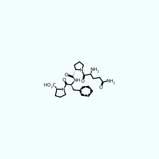 NC(=O)CC[C@H](N)C(=O)N1CCC[C@H]1C(=O)N[C@@H](Cc1ccccc1)C(=O)N1CCC[C@H]1C(=O)O